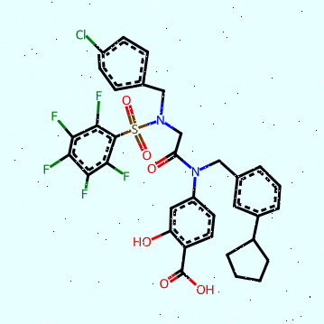 O=C(O)c1ccc(N(Cc2cccc(C3CCCC3)c2)C(=O)CN(Cc2ccc(Cl)cc2)S(=O)(=O)c2c(F)c(F)c(F)c(F)c2F)cc1O